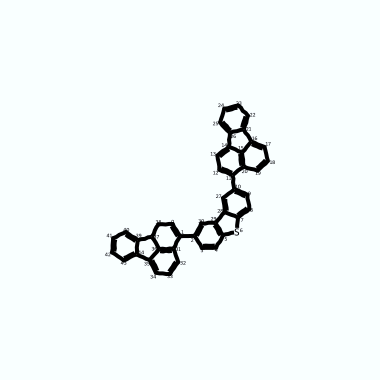 C1=C(c2ccc3sc4ccc(-c5ccc6c7c(cccc57)-c5ccccc5-6)cc4c3c2)c2cccc3c2C(C1)c1ccccc1-3